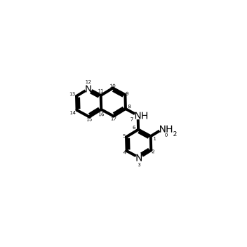 Nc1cnccc1Nc1ccc2ncccc2c1